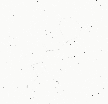 CC(C)C1CN(C(=O)CN2CCOCC2)C1